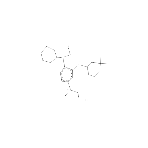 CC(C)CN(c1ccc([C@H](C)CC(=O)O)cc1NC1CCCC(C)(C)C1)C1CCCCC1